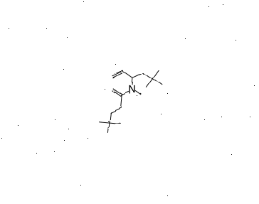 C=CC(CC(C)(C)C)N(C)C(=C)CCC(C)(C)C